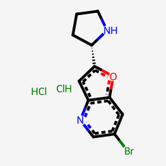 Brc1cnc2cc([C@@H]3CCCN3)oc2c1.Cl.Cl